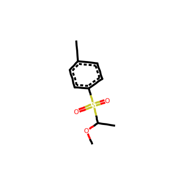 COC(C)S(=O)(=O)c1ccc(C)cc1